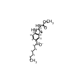 CCCCCC[S+]([O-])c1ccc2[nH]c(NC(=O)OC)nc2c1